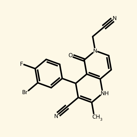 CC1=C(C#N)C(c2ccc(F)c(Br)c2)c2c(ccn(CC#N)c2=O)N1